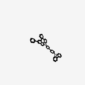 c1ccc(-c2cc3c4c(ccc5c4c4c(cccc4n5-c4ccc(-c5ccc(-n6c7ccccc7c7ccccc76)cc5)cc4)-c4ccccc4-3)c2)cc1